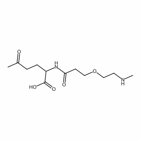 CNCCOCCC(=O)NC(CCC(C)=O)C(=O)O